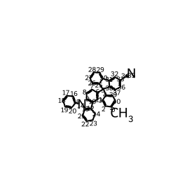 Cc1ccc(C2(c3ccc4c(c3)c3c(n4-c4ccccc4)C=CCC3)c3ccccc3-c3cc(C#N)ccc32)cc1